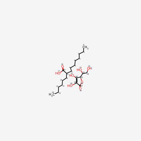 CCCCCCCCC(CCCCCC)C(=O)O.O=C1O[C@H]([C@@H](O)CO)C(O)=C1O